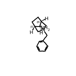 N[C@@H]1[C@@H]2CC[C@H]1CN(Cc1ccccc1)C2